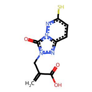 C=C(Cn1nc2ccc(S)nn2c1=O)C(=O)O